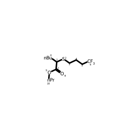 CCCCC(SCCCC(F)(F)F)C(=O)OCCC